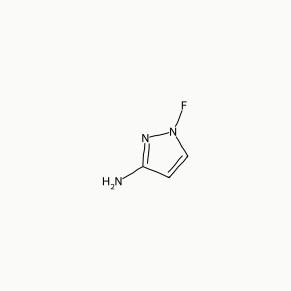 Nc1ccn(F)n1